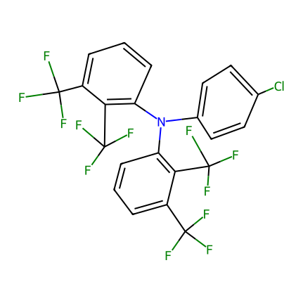 FC(F)(F)c1cccc(N(c2ccc(Cl)cc2)c2cccc(C(F)(F)F)c2C(F)(F)F)c1C(F)(F)F